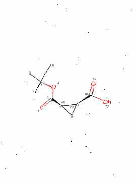 CC(C)(C)OC(=O)[C@@H]1C[C@@H]1C(=O)O